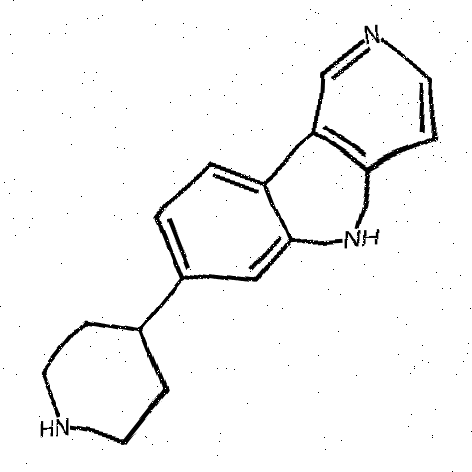 c1cc2[nH]c3cc(C4CCNCC4)ccc3c2cn1